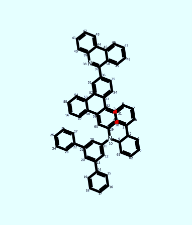 C1=CC(c2ccccc2)C(N(c2cc(-c3ccccc3)cc(-c3ccccc3)c2)c2ccc3c4ccc(-c5nc6ccccc6c6ccccc56)cc4c4ccccc4c3c2)C=C1